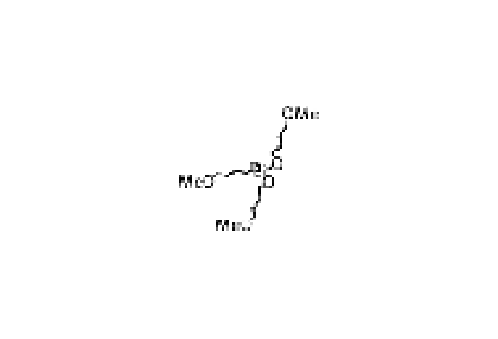 COCCCC[O][Bi]([O]CCCCOC)[O]CCCCOC